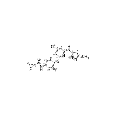 Cc1cc(Nc2cc(Cl)nc(Sc3ccc(NC(=O)C4CC4)cc3F)n2)[nH]n1